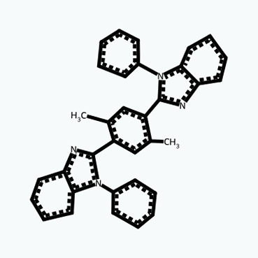 Cc1cc(-c2nc3ccccc3n2-c2ccccc2)c(C)cc1-c1nc2ccccc2n1-c1ccccc1